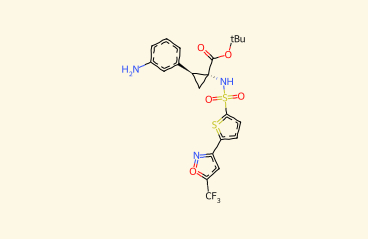 CC(C)(C)OC(=O)[C@@]1(NS(=O)(=O)c2ccc(-c3cc(C(F)(F)F)on3)s2)C[C@H]1c1cccc(N)c1